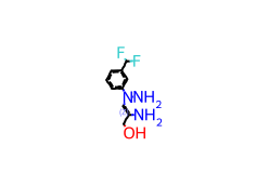 N/C(=C\N(N)c1cccc(C(F)F)c1)CO